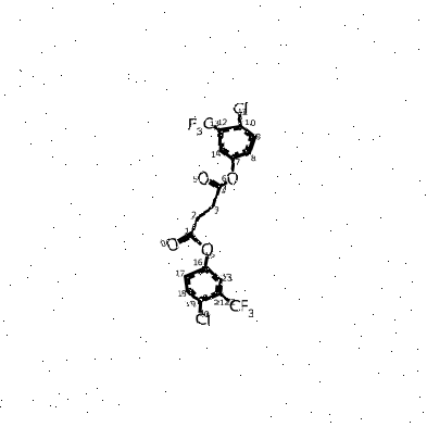 O=C(CCC(=O)Oc1ccc(Cl)c(C(F)(F)F)c1)Oc1ccc(Cl)c(C(F)(F)F)c1